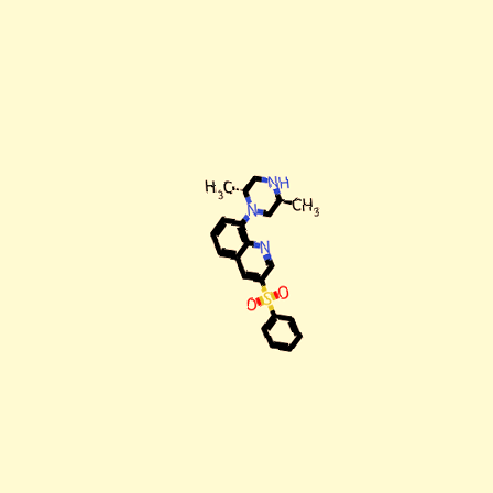 C[C@@H]1CN[C@@H](C)CN1c1cccc2cc(S(=O)(=O)c3ccccc3)cnc12